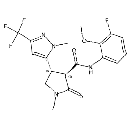 COc1c(F)cccc1NC(=O)[C@H]1C(=S)N(C)C[C@@H]1c1cc(C(F)(F)F)nn1C